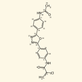 C=C(Cl)C(=O)Nc1ccc(-c2nnc(-c3ccc(NC(C)=O)cc3)o2)cc1